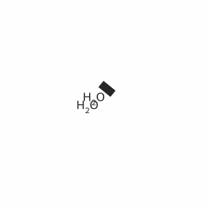 C#C.O.O